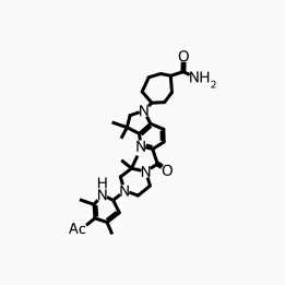 CC(=O)C1=C(C)NC(N2CCN(C(=O)c3ccc4c(n3)C(C)(C)CN4C3CCCC(C(N)=O)CC3)C(C)(C)C2)C=C1C